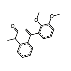 C=C(c1ccccc1C(C)C=O)c1cccc(OC)c1OC